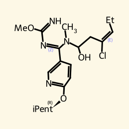 CC/C=C(/Cl)CC(O)N(C)/C(=N\C(=N)OC)c1ccc(O[C@H](C)CCC)nc1